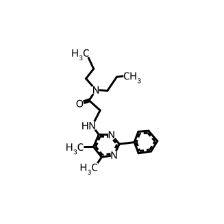 CCCN(CCC)C(=O)CNc1nc(-c2ccccc2)nc(C)c1C